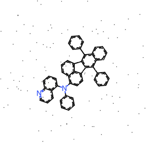 c1ccc(-c2c3c(c(-c4ccccc4)c4ccccc24)-c2ccc(N(c4ccccc4)c4cccc5ncccc45)c4cccc-3c24)cc1